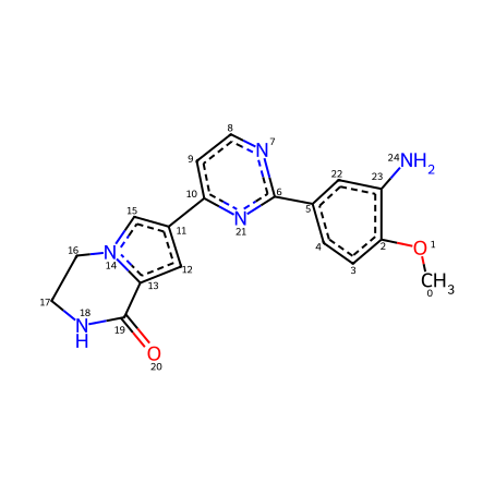 COc1ccc(-c2nccc(-c3cc4n(c3)CCNC4=O)n2)cc1N